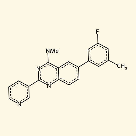 CNc1nc(-c2cccnc2)nc2ccc(-c3cc(C)cc(F)c3)cc12